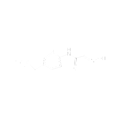 CCOC(=O)Cc1ccc(NC(=O)/C=N/O)cc1